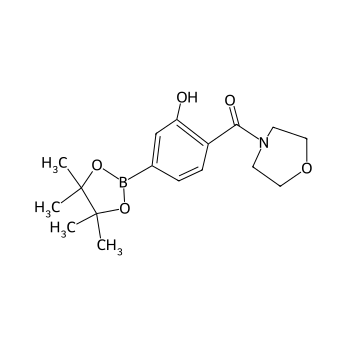 CC1(C)OB(c2ccc(C(=O)N3CCOCC3)c(O)c2)OC1(C)C